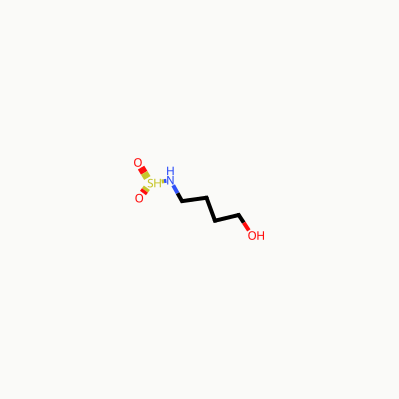 O=[SH](=O)NCCCCO